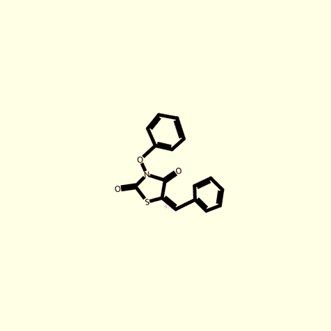 O=C1S/C(=C/c2ccccc2)C(=O)N1Oc1ccccc1